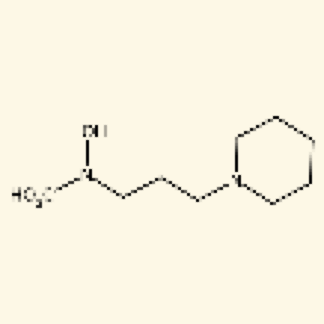 O=C(O)N(O)CCCN1CCCCC1